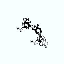 Cc1cc(OCC2CN(C(=O)OC(C)(C)C)CCC2(F)F)nc(C)n1